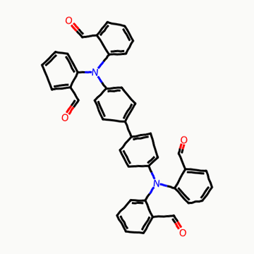 O=Cc1ccccc1N(c1ccc(-c2ccc(N(c3ccccc3C=O)c3ccccc3C=O)cc2)cc1)c1ccccc1C=O